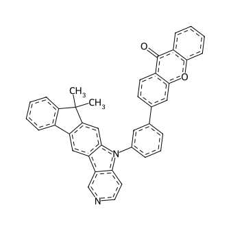 CC1(C)c2ccccc2-c2cc3c4cnccc4n(-c4cccc(-c5ccc6c(=O)c7ccccc7oc6c5)c4)c3cc21